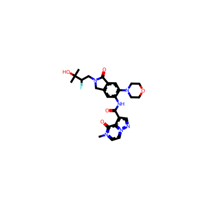 Cn1ccn2ncc(C(=O)Nc3cc4c(cc3N3CCOCC3)C(=O)N(CC(F)C(C)(C)O)C4)c2c1=O